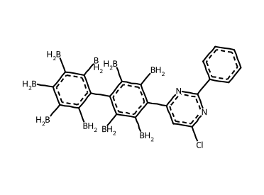 Bc1c(B)c(B)c(-c2c(B)c(B)c(-c3cc(Cl)nc(-c4ccccc4)n3)c(B)c2B)c(B)c1B